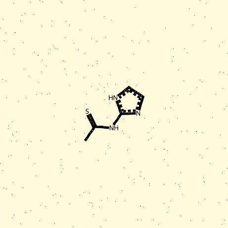 CC(=S)Nc1ncc[nH]1